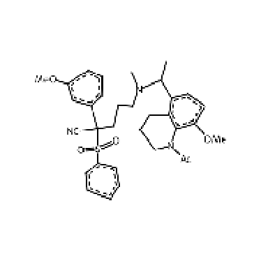 COc1cccc(C(C#N)(CCCN(C)C(C)c2ccc(OC)c3c2CCCN3C(C)=O)S(=O)(=O)c2ccccc2)c1